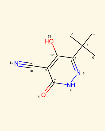 CC(C)(C)c1n[nH]c(=O)c(C#N)c1O